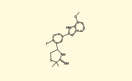 COc1cccc2cc(-c3ccc(F)c(C4CSC(C)(C)C(=N)N4)c3)[nH]c12